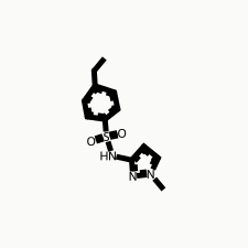 CCc1ccc(S(=O)(=O)Nc2ccn(C)n2)cc1